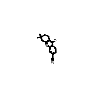 CC1(C)CCc2c(sc3cc(C#N)ccc3c2=O)C1